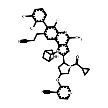 Cc1nc2c(F)c(-c3cccc(Cl)c3Cl)c(CCC#N)cc2c2c1cc(C1CC(Oc3cnccc3C#N)CN1C(=O)C1CC1)n2C1C2CNC1C2